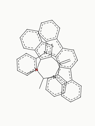 C=C(c1ccccc1)c1sc2ccccc2c1N(C)C(C)n1c2ccccc2c2ccc3c4ccccc4n(-c4ccccc4)c3c21